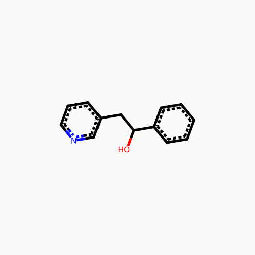 OC(Cc1cccnc1)c1ccccc1